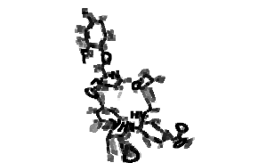 COC(=O)c1ccc(NC(=O)C(C)N2CCC(Oc3ccnc(COc4ccc(F)cc4F)n3)CC2)c(NC[C@@H]2CCO2)c1